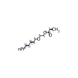 C=CC(=O)OCCOC/C=C/C=C/CCC